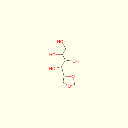 OCC(O)C(O)C(O)C1COCO1